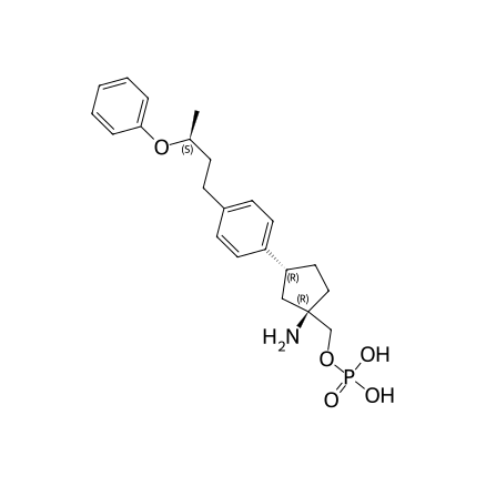 C[C@@H](CCc1ccc([C@@H]2CC[C@](N)(COP(=O)(O)O)C2)cc1)Oc1ccccc1